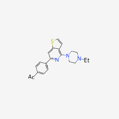 CCN1CCN(c2nc(-c3ccc(C(C)=O)cc3)cc3sccc23)CC1